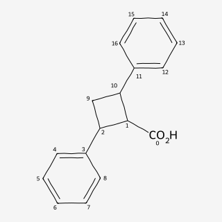 O=C(O)C1C(c2ccccc2)CC1c1ccccc1